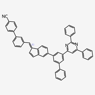 N#Cc1ccc(-c2cccc(/C=C3\C=Cc4cc(-c5cc(-c6ccccc6)cc(-c6cc(-c7ccccc7)nc(-c7ccccc7)n6)c5)ccc43)c2)cc1